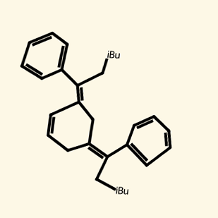 CCC(C)CC(=C1C=CCC(=C(CC(C)CC)c2ccccc2)C1)c1ccccc1